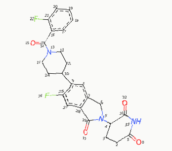 O=C1CCC(N2Cc3cc(C4CCN(C(=O)c5ccccc5F)CC4)c(F)cc3C2=O)C(=O)N1